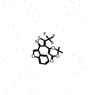 CC1(C)OC(=O)C=C(c2c(-c3coc4ccccc34)nsc2C(F)(F)F)O1